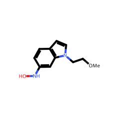 COCCn1ccc2ccc(NO)cc21